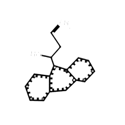 C=CCC(O)c1c2ccccc2cc2ccccc12